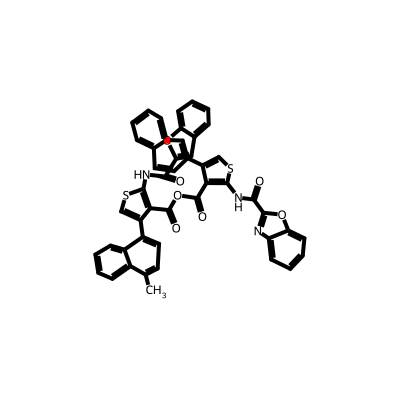 Cc1ccc(-c2csc(NC(=O)c3cc4ccccc4o3)c2C(=O)OC(=O)c2c(-c3ccc4ccccc4c3)csc2NC(=O)c2nc3ccccc3o2)c2ccccc12